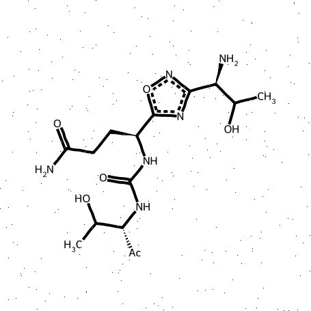 CC(=O)[C@@H](NC(=O)N[C@@H](CCC(N)=O)c1nc([C@@H](N)C(C)O)no1)C(C)O